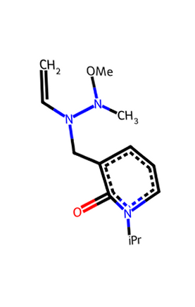 C=CN(Cc1cccn(C(C)C)c1=O)N(C)OC